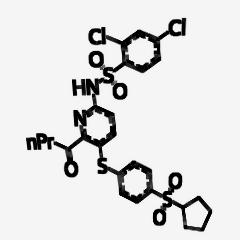 CCCC(=O)c1nc(NS(=O)(=O)c2ccc(Cl)cc2Cl)ccc1Sc1ccc(S(=O)(=O)C2CCCC2)cc1